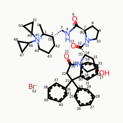 CC1[C@H](CNC(=O)[C@H]2CCCN2C(=O)[C@@H]2C[C@@H](O)CN2C(=O)CC(c2ccccc2)(c2ccccc2)c2ccccc2)CCC[N+]1(C1CC1)C1CC1.[Br-]